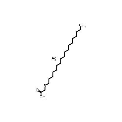 CCCCCCCCCCCCCCCCCCSCC(=O)O.[Ag]